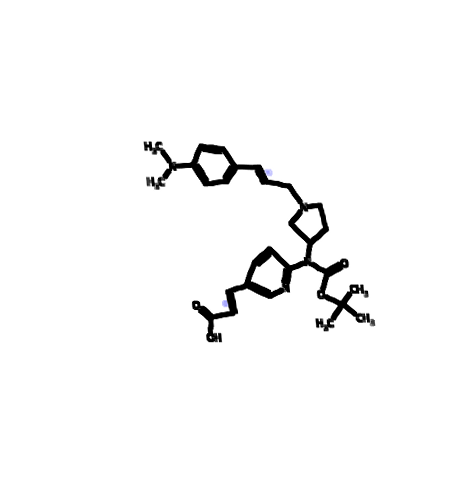 CN(C)c1ccc(/C=C/CN2CCC(N(C(=O)OC(C)(C)C)c3ccc(/C=C/C(=O)O)cn3)C2)cc1